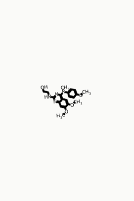 COc1ccc(N(C)c2nc(NCCO)nc3cc(OC)c(OC)cc23)cc1